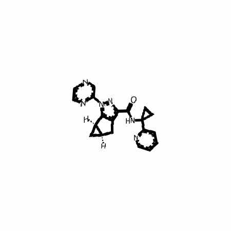 O=C(NC1(c2ccccn2)CC1)c1nn(-c2cnccn2)c2c1C[C@H]1C[C@@H]21